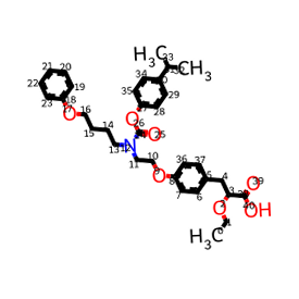 CCOC(Cc1ccc(OCCN(CCCCOc2ccccc2)C(=O)Oc2ccc(C(C)C)cc2)cc1)C(=O)O